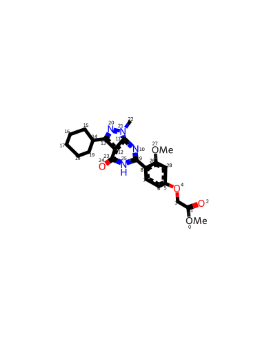 COC(=O)COc1ccc(-c2nc3c(c(C4CCCCC4)nn3C)c(=O)[nH]2)c(OC)c1